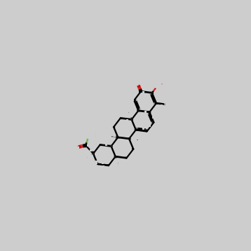 CC1=C(O)C(=O)C=C2C1=CC=C1[C@@]2(C)CC[C@@]2(C)C3C[C@](C)(C(=O)F)CC[C@]3(C)CC[C@]12C